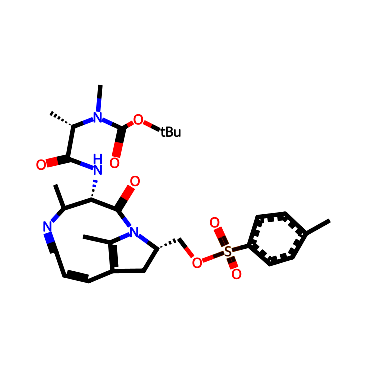 CC1=C2/C=C\C=N\C(C)[C@H](NC(=O)[C@H](C)N(C)C(=O)OC(C)(C)C)C(=O)N1[C@H](COS(=O)(=O)c1ccc(C)cc1)C2